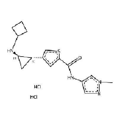 Cl.Cl.Cn1cc(NC(=O)c2cc([C@@H]3C[C@H]3NC3CCC3)cs2)cn1